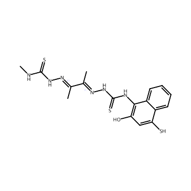 CNC(=S)N/N=C(C)/C(C)=N/NC(=S)Nc1c(O)cc(S)c2ccccc12